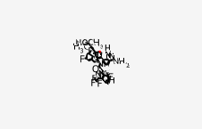 CC(C)(O)C#Cc1ccc(-c2cccc3c(N)n[nH]c23)c([C@H](Cc2cc(F)cc(F)c2)NC(=O)Cn2nc(C(F)(F)F)c3c2C(F)(F)[C@@H]2CC32)n1